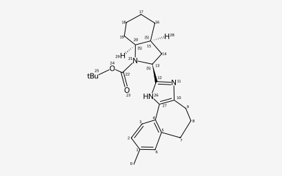 Cc1ccc2c(c1)CCCc1nc([C@@H]3C[C@@H]4CCCC[C@@H]4N3C(=O)OC(C)(C)C)[nH]c1-2